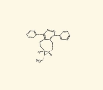 OC[C@H]1[C@H]2CCc3c(-c4ccccc4)nnc(-c4ccccc4)c3CC[C@@H]12